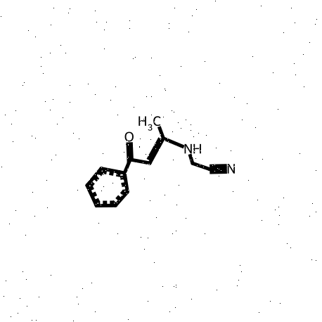 C/C(=C\C(=O)c1ccccc1)NCC#N